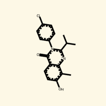 Cc1c(O)ccc2c(=O)n(-c3ccc(Cl)cc3)c(C(C)C)nc12